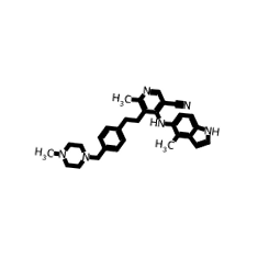 Cc1ncc(C#N)c(Nc2ccc3[nH]ccc3c2C)c1CCc1ccc(CN2CCN(C)CC2)cc1